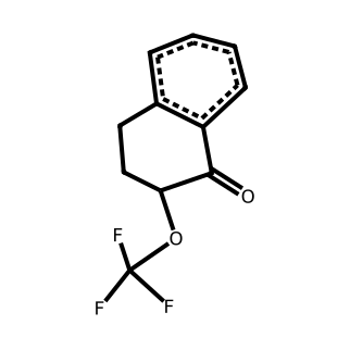 O=C1c2ccccc2CCC1OC(F)(F)F